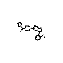 COc1cnccc1-c1cnc2ccc(N3CCN(C(=O)N4CCCC4)CC3)nn12